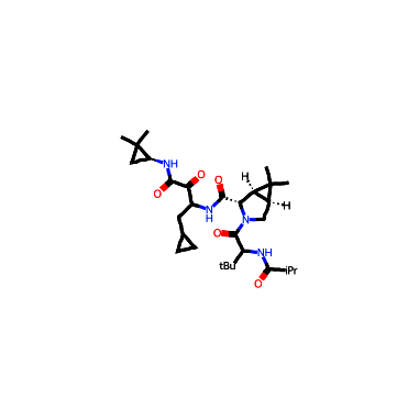 CC(C)C(=O)NC(C(=O)N1C[C@H]2[C@@H]([C@H]1C(=O)NC(CC1CC1)C(=O)C(=O)N[C@H]1CC1(C)C)C2(C)C)C(C)(C)C